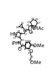 COCCCOc1cc(C(=O)N(CC2CNCC2CN(C(=O)CC2(NC(C)=O)CCCCC2)C2CC2)C(C)C)ccc1OC